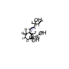 C=CC(C)(O)/C=C/C1=C(C)C(O)CCC1(C)C.O=CO